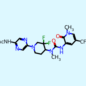 CC(=O)Nc1cnc(N2CCC(N(C)C(=O)Nc3cc(C(F)(F)F)cn(C)c3=O)C(F)(F)C2)cn1